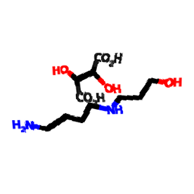 NCCCCNCCCO.O=C(O)C(O)C(O)C(=O)O